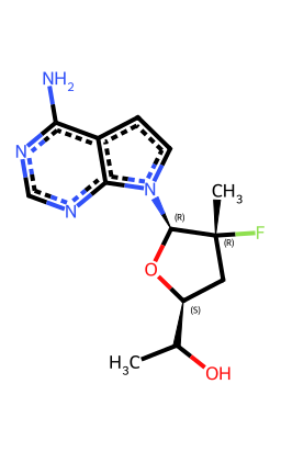 CC(O)[C@@H]1C[C@@](C)(F)[C@H](n2ccc3c(N)ncnc32)O1